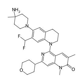 Cc1cc2c(N3CCCc4cc(N5CCC(C)(N)CC5)c(C(F)F)cc43)nc(C3CCOCC3)cc2n(C)c1=O